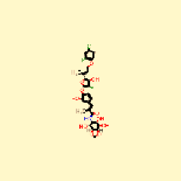 C/C(=C\c1ccc(O[C@@H]2O[C@H](/C(C)=C/COc3ccc(Cl)cc3F)[C@@H](O)[C@@H]2F)c(O)c1)C(=O)N[C@@H]1[C@H](O)[C@@H](O)[C@H]2OCO[C@H]2[C@@H]1O